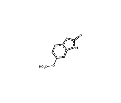 O=C(O)Oc1ccc2oc(=O)[nH]c2c1